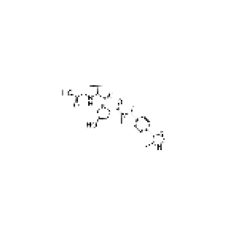 Cc1ncsc1-c1ccc(C(C)NC(=O)[C@@H]2C[C@@H](O)CN2C(=O)C(NCC(=O)O)C(C)(C)C)cc1